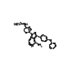 Nc1nccn2c(C34CCC(NC(=O)O)(CC3)C4)nc(-c3ccc(Oc4ccccc4)cc3)c12